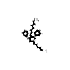 CCCCCCCCC(=Nc1ccccc1)C(CCCCCCCC)=[N+]([Ni])c1ccccc1